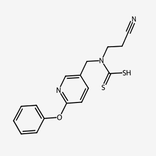 N#CCCN(Cc1ccc(Oc2ccccc2)nc1)C(=S)S